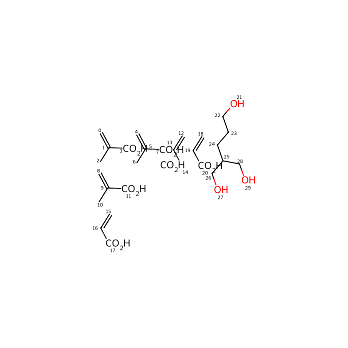 C=C(C)C(=O)O.C=C(C)C(=O)O.C=C(C)C(=O)O.C=CC(=O)O.C=CC(=O)O.C=CC(=O)O.OCCCC(CO)CO